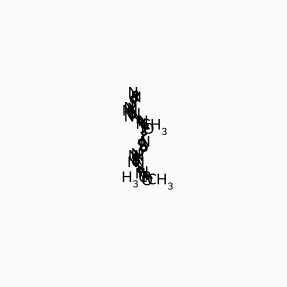 CCP(C)(=O)Cn1cc(-c2cnc3nnn(Cc4ccc5nc(C6CC(P(C)(=O)Cn7cc(-c8cnc9nnn(Cc%10ccc%11nccn%11c%10)c9n8)cn7)C6)ccc5c4)c3n2)cn1